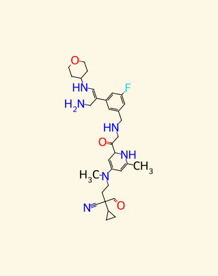 CC1=CC(N(C)CCC(C#N)(C=O)C2CC2)=CC(C(=O)CNCc2cc(F)cc(/C(=C/NC3CCOCC3)CN)c2)N1